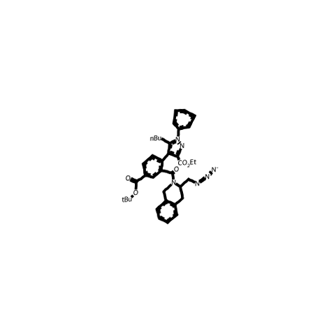 CCCCc1c(-c2ccc(C(=O)OC(C)(C)C)cc2C(=O)N2Cc3ccccc3CC2CN=[N+]=[N-])c(C(=O)OCC)nn1-c1ccccc1